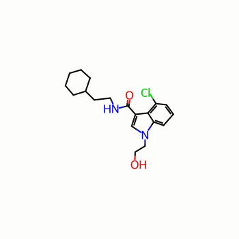 O=C(NCCC1CCCCC1)c1cn(CCO)c2cccc(Cl)c12